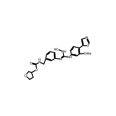 COc1cc(NC(=Nc2cccc(CNC(=O)OC3CCOC3)c2)NC#N)ccc1-c1cnco1